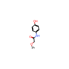 CC(C)OCC(=O)Nc1ccc(O)cc1